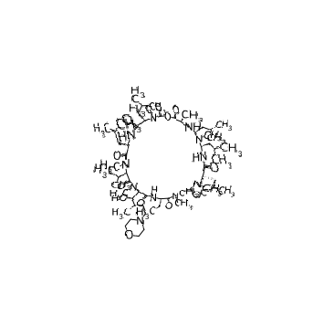 CC[C@H]1NC(=O)C([C@H](O)[C@H](C)CCN2CCOCC2)N(C)C(=O)C(C(C)C)N(C)C(=O)[C@@H](CC(C)C)NC(=O)[C@@H](CC(C)C)N(C)C(=O)OC(=O)[C@@H](C)N[C@@H](CC(C)C)N(C)[C@@H](CC(C)C)NC(=O)[C@H](CC(C)C)N(C)C(=O)CN(C)C1=O